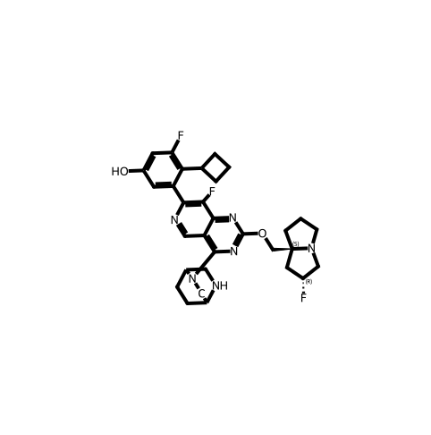 Oc1cc(F)c(C2CCC2)c(-c2ncc3c(N4CC5CCC4CN5)nc(OC[C@@]45CCCN4C[C@H](F)C5)nc3c2F)c1